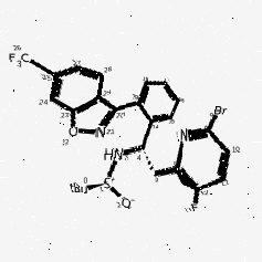 CC(C)(C)[S@+]([O-])N[C@@H](Cc1nc(Br)ccc1F)c1ccccc1-c1noc2cc(C(F)(F)F)ccc12